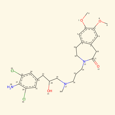 COc1cc2c(cc1OC)CC(=O)N(CCCN(C)CC(O)Cc1cc(Cl)c(N)c(Cl)c1)CC2